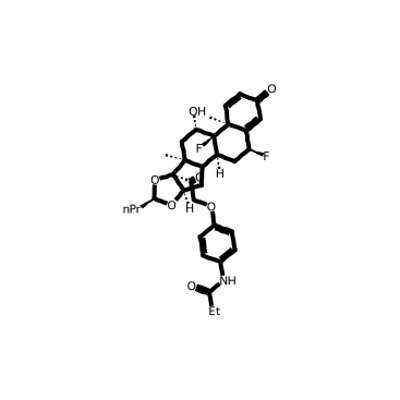 CCC[C@@H]1O[C@@H]2CC3[C@@H]4C[C@H](F)C5=CC(=O)C=C[C@]5(C)[C@@]4(F)[C@@H](O)C[C@]3(C)[C@]2(C(=O)COc2ccc(NC(=O)CC)cc2)O1